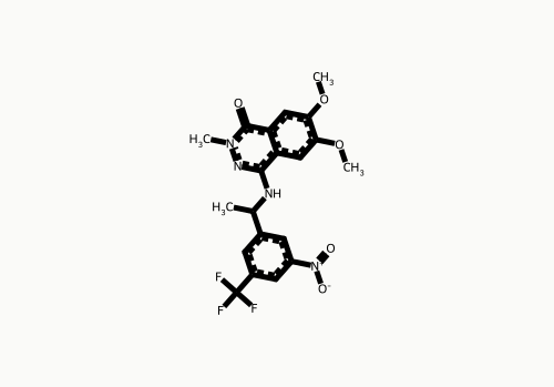 COc1cc2c(NC(C)c3cc([N+](=O)[O-])cc(C(F)(F)F)c3)nn(C)c(=O)c2cc1OC